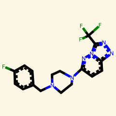 Fc1ccc(CN2CCN(c3ccc4nnc(C(F)(F)F)n4n3)CC2)cc1